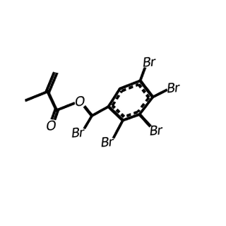 C=C(C)C(=O)OC(Br)c1cc(Br)c(Br)c(Br)c1Br